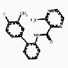 Cc1cc(-c2ccccc2NC(=O)c2nccnc2C(F)(F)F)ccc1F